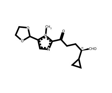 Cn1c(C2OCCO2)cnc1C(=O)CC[C@@H](C=O)C1CC1